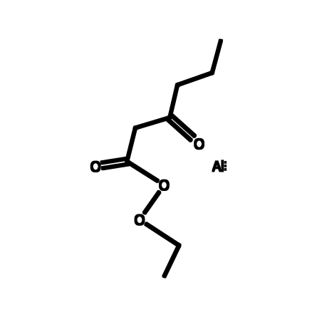 CCCC(=O)CC(=O)OOCC.[Al]